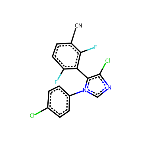 N#Cc1ccc(F)c(-c2c(Cl)ncn2-c2ccc(Cl)cc2)c1F